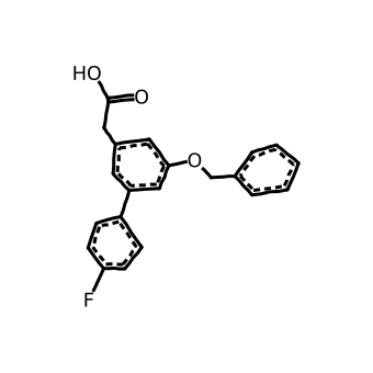 O=C(O)Cc1cc(OCc2ccccc2)cc(-c2ccc(F)cc2)c1